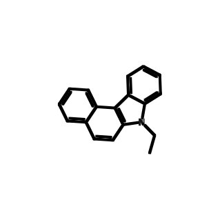 CCn1c2ccccc2c2c3ccccc3ccc21